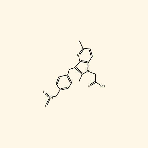 Cc1ccc2c(n1)c(Cc1ccc(C[SH](=O)=O)cc1)c(C)n2CC(=O)O